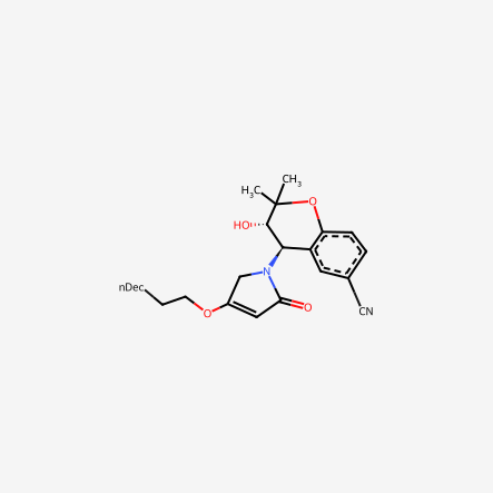 CCCCCCCCCCCCOC1=CC(=O)N([C@@H]2c3cc(C#N)ccc3OC(C)(C)[C@H]2O)C1